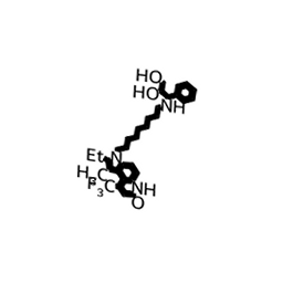 CCc1c(C)c2c3c(C(F)(F)F)cc(=O)[nH]c3ccc2n1CCCCCCCCCNC(c1ccccc1)C(O)CO